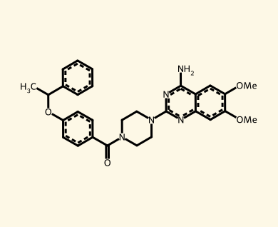 COc1cc2nc(N3CCN(C(=O)c4ccc(OC(C)c5ccccc5)cc4)CC3)nc(N)c2cc1OC